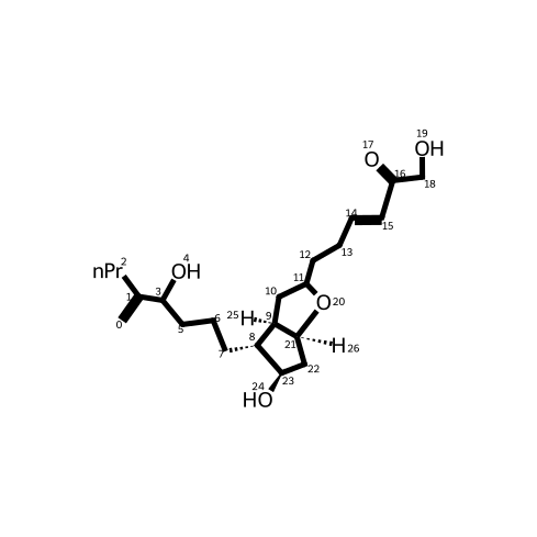 C=C(CCC)C(O)CCC[C@@H]1[C@H]2CC(CCC=CC(=O)CO)O[C@H]2C[C@H]1O